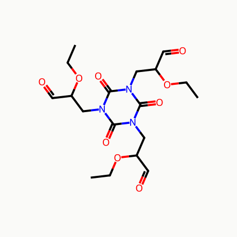 CCOC(C=O)Cn1c(=O)n(CC(C=O)OCC)c(=O)n(CC(C=O)OCC)c1=O